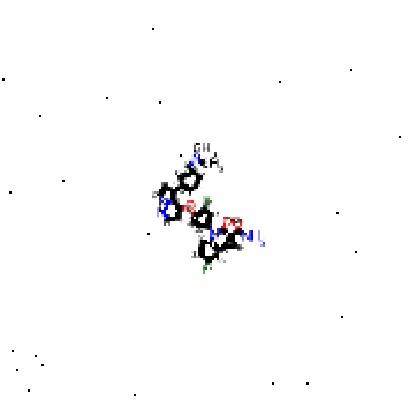 CN(C)Cc1cccc(-c2ccn3nccc(Oc4ccc(N(C(=O)C5(C(N)=O)CC5)c5ccc(F)cc5)cc4F)c23)c1